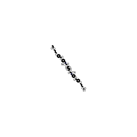 C=CC(=O)OCCCCOc1ccc(C(=O)Oc2ccc(/C=C(\C#N)C(=O)O[C@H]3CO[C@H]4[C@@H]3OC[C@H]4OC(=O)/C(C#N)=C/c3ccc(OC(=O)c4ccc(OCCCCOC(=O)CC)cc4)cc3)cc2)cc1